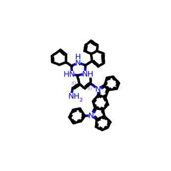 C/C(=C\C(=C/N)C1NC(C2=CC=CC3C=CC=CC23)NC(C2C=CC=CC2)N1)n1c2ccccc2c2cc3c4ccccc4n(-c4ccccc4)c3cc21